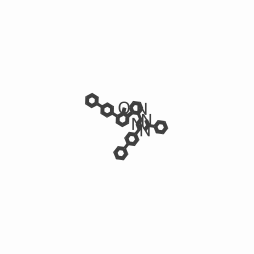 c1ccc(-c2ccc(-c3nc(-c4ccccc4)nc(-c4nccc5oc6c(-c7ccc(-c8ccccc8)cc7)cccc6c45)n3)cc2)cc1